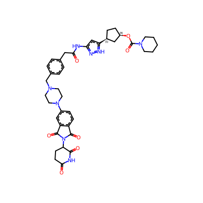 O=C1CCC(N2C(=O)c3ccc(N4CCN(Cc5ccc(CC(=O)Nc6cc([C@H]7CC[C@@H](OC(=O)N8CCCCC8)C7)[nH]n6)cc5)CC4)cc3C2=O)C(=O)N1